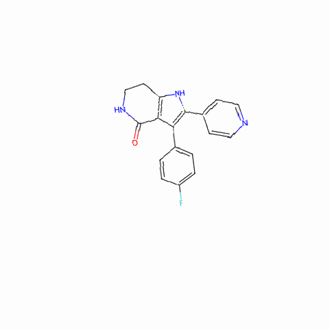 O=C1NCCc2[nH]c(-c3ccncc3)c(-c3ccc(F)cc3)c21